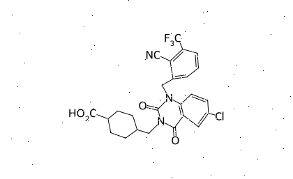 N#Cc1c(Cn2c(=O)n(CC3CCC(C(=O)O)CC3)c(=O)c3cc(Cl)ccc32)cccc1C(F)(F)F